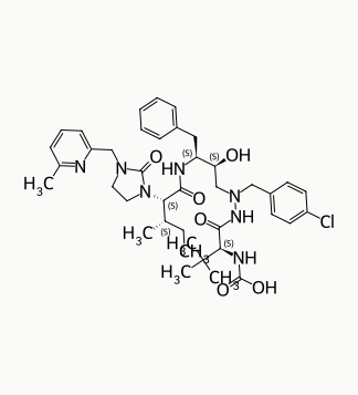 CC[C@H](C)[C@@H](C(=O)N[C@@H](Cc1ccccc1)[C@@H](O)CN(Cc1ccc(Cl)cc1)NC(=O)[C@@H](NC(=O)O)C(C)(C)C)N1CCN(Cc2cccc(C)n2)C1=O